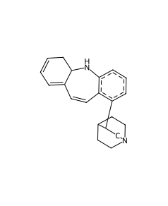 C1=CCC2Nc3cccc(C4CN5CCC4CC5)c3C=CC2=C1